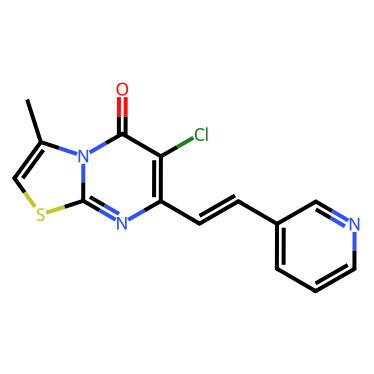 Cc1csc2nc(/C=C/c3cccnc3)c(Cl)c(=O)n12